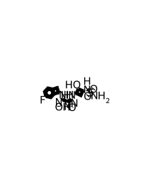 NS(=O)(=O)NC1CC(Nc2nonc2C(=NO)NC2Cc3ccc(F)cc32)C1O